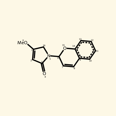 COC1=CC(=O)N(C2C=Cc3ccccc3O2)C1